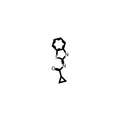 O=C(N=C1[N]c2ccccc2S1)C1CC1